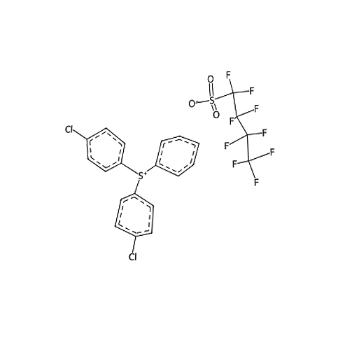 Clc1ccc([S+](c2ccccc2)c2ccc(Cl)cc2)cc1.O=S(=O)([O-])C(F)(F)C(F)(F)C(F)(F)C(F)(F)F